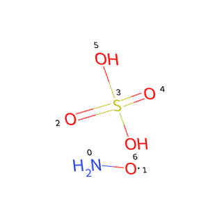 N[O].O=S(=O)(O)O